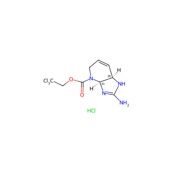 Cl.NC1=N[C@@H]2[C@@H](C=CCN2C(=O)OCC(Cl)(Cl)Cl)N1